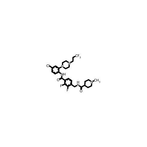 CN1CCC(C(=O)NCc2ccc(C(=O)Nc3ccc(Cl)cc3N3CCN(CCC(F)(F)F)CC3)c(F)c2F)CC1